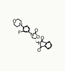 O=C1c2ccccc2C(=O)N1C[C@@H]1CN(c2ccc(N3CCOCC3)c(F)c2)C(=O)O1